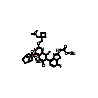 CN(C)CC1(COc2nc(N3CC4CCC(C3)N4C(=O)OC(C)(C)C)c3cc(Cl)c(-c4ccc(F)c5sc(NC(=O)OC(C)(C)C)nc45)c(F)c3n2)CCC1